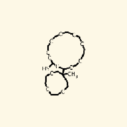 CC1(C2CCCCCCCCCCCCCCCC(S)C2)CCCCCCCCCC1